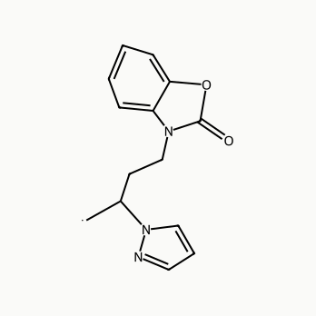 [CH2]C(CCn1c(=O)oc2ccccc21)n1cccn1